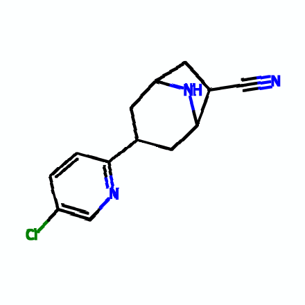 N#CC1CC2CC(c3ccc(Cl)cn3)CC1N2